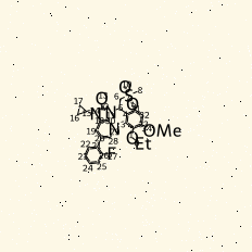 CCOc1cc([C@H](CS(C)(=O)=O)n2c(=O)n(C3CC3)c3cc(-c4ccccc4F)cnc32)ccc1OC